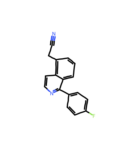 N#CCc1cccc2c(-c3ccc(F)cc3)nccc12